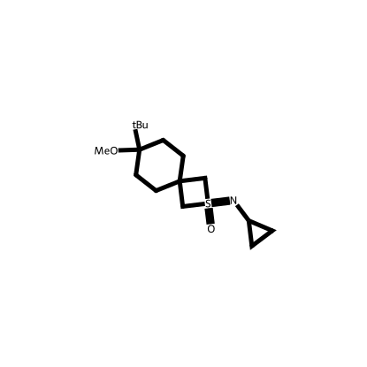 COC1(C(C)(C)C)CCC2(CC1)CS(=O)(=NC1CC1)C2